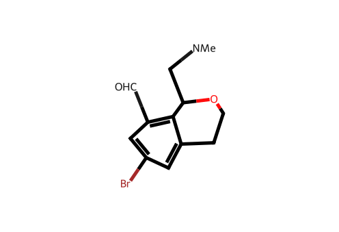 CNCC1OCCc2cc(Br)cc(C=O)c21